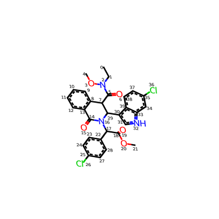 CCN(OC)C(=O)C1c2ccccc2C(=O)N(C(C(=O)OC)c2ccc(Cl)cc2)C1c1c[nH]c2cc(Cl)ccc12